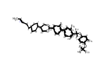 C/C=C/CCC1CCC(C2COC(c3ccc(-c4cc(F)c(C(F)(F)Oc5ccc(OC(F)(F)F)c(F)c5)c(F)c4)c(F)c3)OC2)CC1